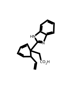 C=CC1C=CC=CC1(CC(=O)O)c1nc2ccccc2[nH]1